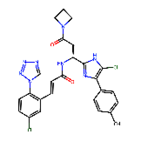 Cc1ccc(-c2nc([C@H](CC(=O)N3CCC3)NC(=O)/C=C/c3cc(Cl)ccc3-n3cnnn3)[nH]c2Cl)cc1